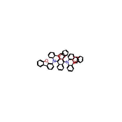 c1ccc(-c2ccccc2N(c2cccc3c2oc2ccccc23)c2c3ccccc3c(N(c3ccccc3-c3ccccc3)c3cccc4c3oc3ccccc34)c3c2oc2ccccc23)cc1